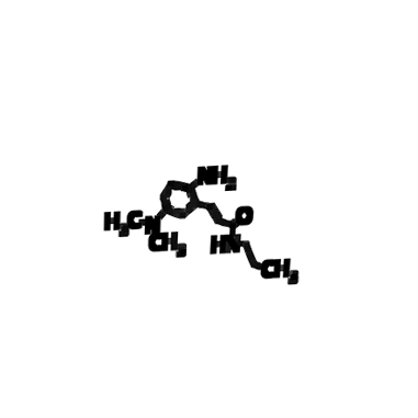 CCCNC(=O)C=Cc1cc(N(C)C)ccc1N